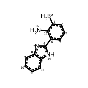 Bc1cccc(-c2nc3ccccc3[nH]2)c1N